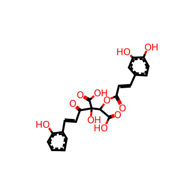 O=C(C=Cc1ccc(O)c(O)c1)OC(C(=O)O)C(O)(C(=O)O)C(=O)C=Cc1ccccc1O